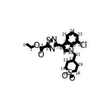 CCOC(=O)c1nc(-c2cn(CC3CCS(=O)(=O)CC3)c3c(Cl)cccc23)ns1